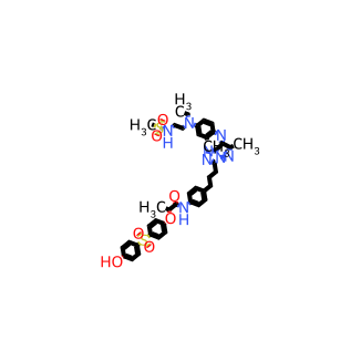 CCN(CCNS(C)(=O)=O)c1ccc(/N=C2/C(C)=Nn3c(CCCc4ccc(NC(=O)C(C)Oc5ccc(S(=O)(=O)c6ccc(O)cc6)cc5)cc4)nnc32)c(C)c1